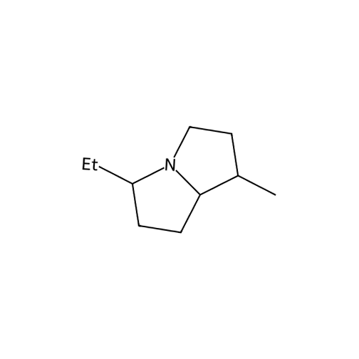 CCC1CCC2C(C)CCN12